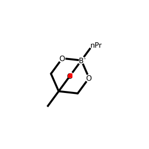 CCC[B-]12OCC(C)(CO1)CO2